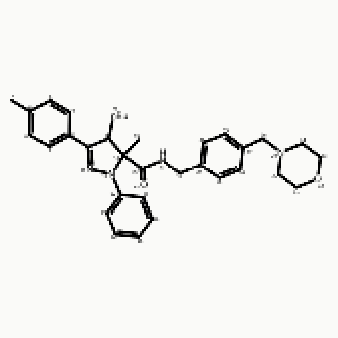 CCCCC1C(c2ccc(C)cc2)=NN(c2ccccc2)C1(C)C(=O)NCc1ccc(CN2CCOCC2)cc1